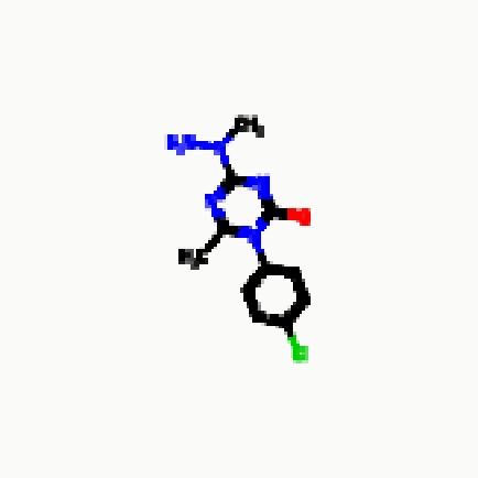 Cc1nc(N(C)N)nc(=O)n1-c1ccc(Cl)cc1